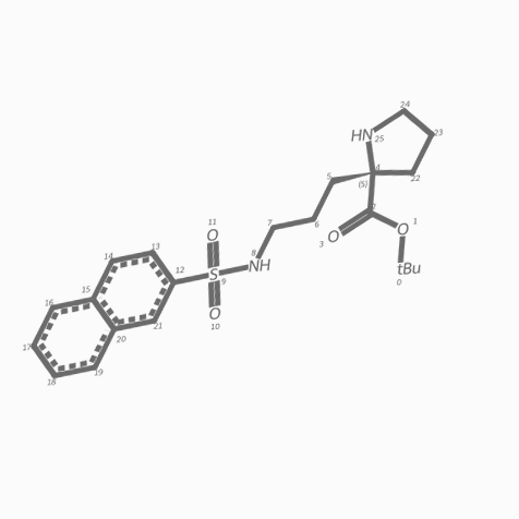 CC(C)(C)OC(=O)[C@@]1(CCCNS(=O)(=O)c2ccc3ccccc3c2)CCCN1